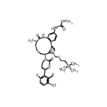 COC(=O)Nc1ccc2c(c1)NC(=O)[C@H](C)CCC[C@H](N1CCC(c3c(F)ccc(Cl)c3F)OC1=O)c1nc-2cn1COCC[Si](C)(C)C